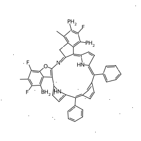 Bc1c(F)c(C)c(F)c2oc3nc4c(c5ccc([nH]5)c(-c5ccccc5)c5cc(c(-c6ccccc6)c6ccc([nH]6)c3c12)C=C5)-c1c(P)c(F)c(P)c(C)c1C4